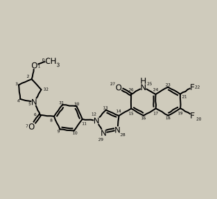 COC1CCN(C(=O)c2ccc(-n3cc(-c4cc5cc(F)c(F)cc5[nH]c4=O)nn3)cc2)C1